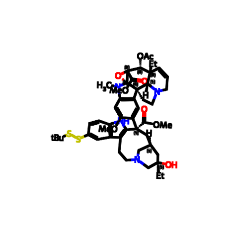 CC[C@]1(O)C[C@H]2CN(CCc3c([nH]c4ccc(SSC(C)(C)C)cc34)[C@@](C(=O)OC)(c3cc4c(cc3OC)N(C)[C@@]35O[C@]3(C(=O)OC)[C@H](OC(C)=O)[C@]3(CC)C=CCN6CC[C@]45[C@@H]63)C2)C1